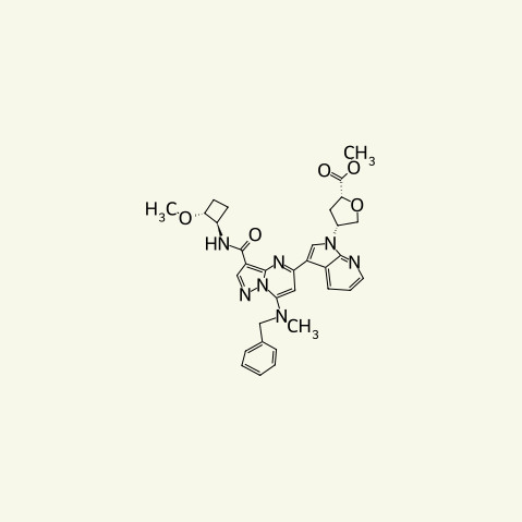 COC(=O)[C@H]1C[C@@H](n2cc(-c3cc(N(C)Cc4ccccc4)n4ncc(C(=O)N[C@@H]5CC[C@H]5OC)c4n3)c3cccnc32)CO1